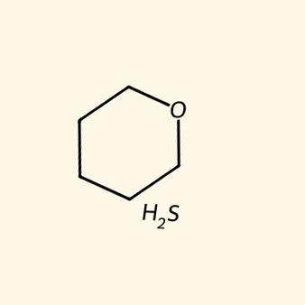 C1CCOCC1.S